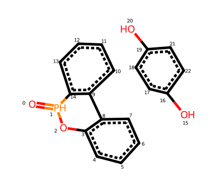 O=[PH]1Oc2ccccc2-c2ccccc21.Oc1ccc(O)cc1